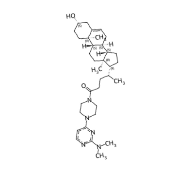 CC(CCC(=O)N1CCN(c2ccnc(N(C)C)n2)CC1)[C@H]1CC[C@H]2[C@@H]3CC=C4C[C@@H](O)CC[C@]4(C)[C@H]3CC[C@]12C